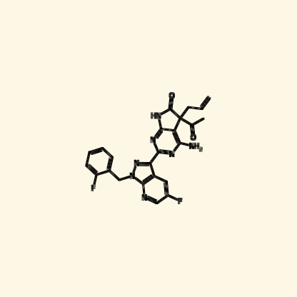 C=CCC1(C(C)=O)C(=O)Nc2nc(-c3nn(Cc4ccccc4F)c4ncc(F)cc34)nc(N)c21